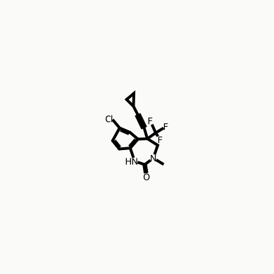 CN1CC(C#CC2CC2)(C(F)(F)F)c2cc(Cl)ccc2NC1=O